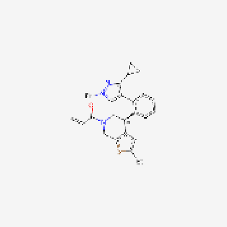 C=CC(=O)N1Cc2sc(CC)cc2[C@H](c2ccccc2-c2cn(CC)nc2C2CC2)C1